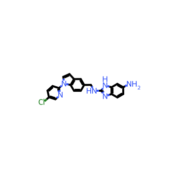 Nc1ccc2nc(NCc3ccc4c(ccn4-c4ccc(Cl)cn4)c3)[nH]c2c1